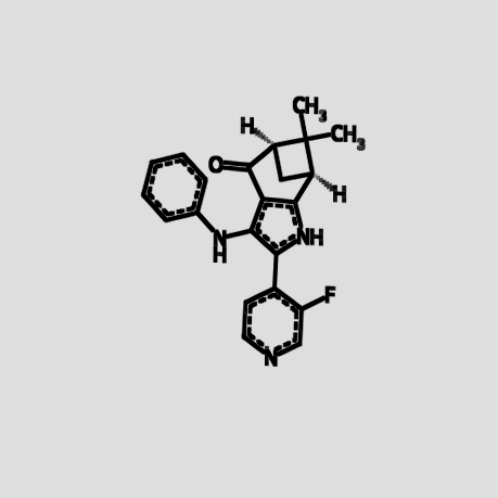 CC1(C)[C@@H]2C[C@H]1C(=O)c1c2[nH]c(-c2ccncc2F)c1Nc1ccccc1